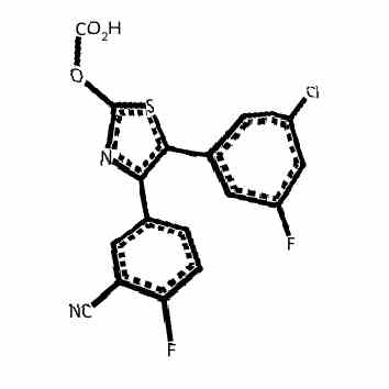 N#Cc1cc(-c2nc(OC(=O)O)sc2-c2cc(F)cc(Cl)c2)ccc1F